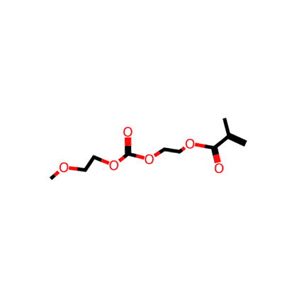 C=C(C)C(=O)OCCOC(=O)OCCOC